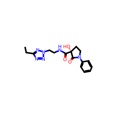 CCc1nnn(CCNC(=O)[C@@]2(O)CCN(c3ccccc3)C2=O)n1